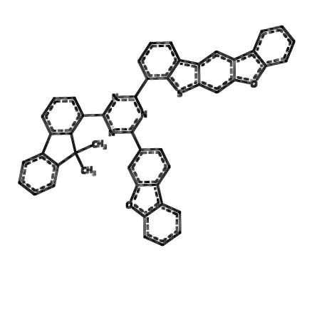 CC1(C)c2ccccc2-c2cccc(-c3nc(-c4ccc5c(c4)oc4ccccc45)nc(-c4cccc5c4sc4cc6oc7ccccc7c6cc45)n3)c21